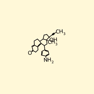 CC#CC1(O)CCC2C3CCC4=CC(=O)CCC4=C3C(c3ccc(N)cc3)CC21C